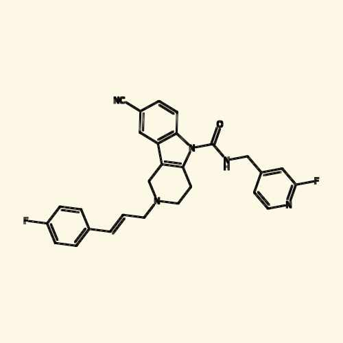 N#Cc1ccc2c(c1)c1c(n2C(=O)NCc2ccnc(F)c2)CCN(CC=Cc2ccc(F)cc2)C1